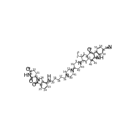 CCc1cc2c(cc1N1CCC(N3CCN(CCCCCNc4cccc5c4CN(C4CCC(=O)NC4=O)C5=O)CC3)CC1)C(C)(C)c1[nH]c3cc(C#N)ccc3c1C2=O